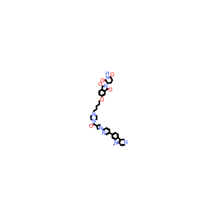 Cn1c2ccncc2c2ccc(-c3ccc(N4CC(C(=O)N5CCN(CCCCCOc6ccc7c(c6)C(=O)N(C6CCC(=O)NC6=O)C7=O)CC5)C4)nc3)cc21